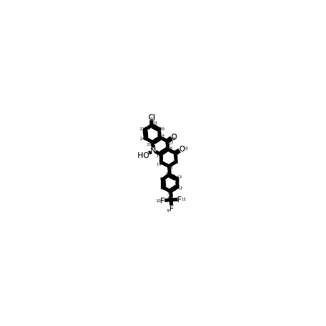 O=C1CC(c2ccc(C(F)(F)F)cc2)Cc2c1c(=O)c1cc(Cl)ccc1n2O